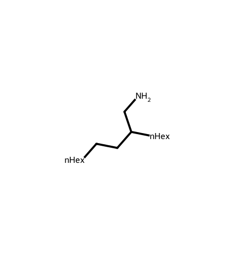 CCCCCCCCC(CN)CCCCCC